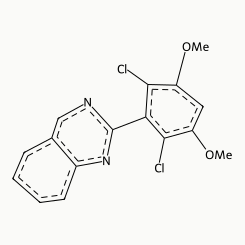 COc1cc(OC)c(Cl)c(-c2ncc3ccccc3n2)c1Cl